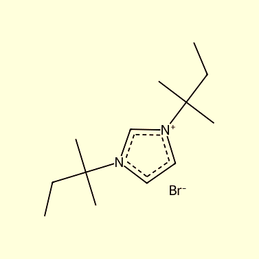 CCC(C)(C)n1cc[n+](C(C)(C)CC)c1.[Br-]